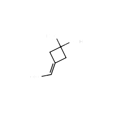 O=CC=C1CC(C(=O)O)(C(=O)O)C1